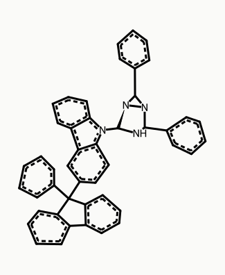 c1ccc(C2NC(n3c4ccccc4c4cc(C5(c6ccccc6)c6ccccc6-c6ccccc65)ccc43)[N@@]3C(c4ccccc4)N23)cc1